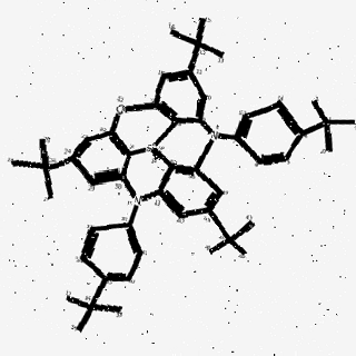 CC(C)(C)c1ccc(N2c3cc(C(C)(C)C)cc4c3[Si]3(C)c5c(cc(C(C)(C)C)cc5N(c5ccc(C(C)(C)C)cc5)c5cc(C(C)(C)C)cc2c53)O4)cc1